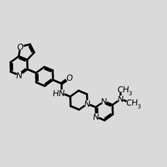 CN(C)c1ccnc(N2CCC(NC(=O)c3ccc(-c4nccc5occc45)cc3)CC2)n1